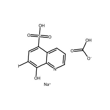 O=C([O-])O.O=S(=O)(O)c1cc(I)c(O)c2ncccc12.[Na+]